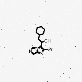 CC(C)c1sc2cncn2c1C(O)CC1CCCCC1